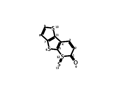 O=C1C=Cc2c(sc3ccsc23)S1=S